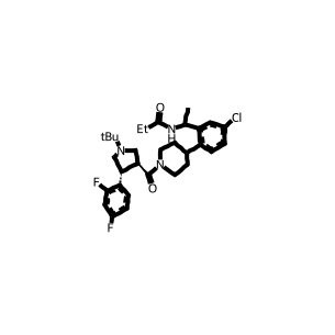 CCC(=O)NC(C)c1cc(Cl)ccc1C1CCN(C(=O)[C@@H]2CN(C(C)(C)C)C[C@H]2c2ccc(F)cc2F)CC1